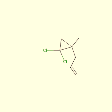 C=CCC1(C)CC1(Cl)Cl